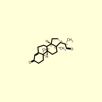 C[C@H](C=O)[C@H]1CC[C@H]2C3CCC4=CC(=O)CC[C@]4(C)[C@H]3CC[C@]12C